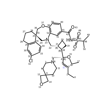 CC/C=C/[C@](CN1CCC2(CC1)COC2)(OCC)[C@@H]1CC[C@H]1CN1C[C@@]2(CCCc3cc(Cl)ccc32)COc2ccc(C(=O)NS(=O)(=O)C(C)C)cc21